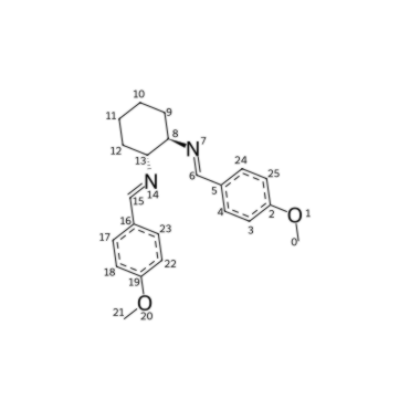 COc1ccc(/C=N/[C@@H]2CCCC[C@H]2/N=C/c2ccc(OC)cc2)cc1